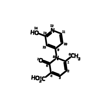 Cc1ccc(C(=O)O)c(=O)n1-c1ccnc(O)c1